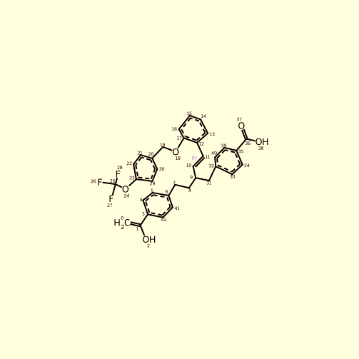 C=C(O)c1ccc(CCC(/C=C/c2ccccc2OCc2ccc(OC(F)(F)F)cc2)Cc2ccc(C(=O)O)cc2)cc1